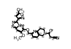 COc1cc2nnc(-c3cc(C)on3)n2nc1OCc1ccc2c(n1)CCN(C(=O)CC#N)C2